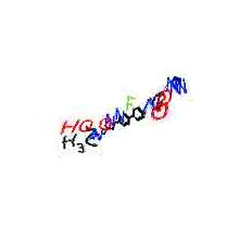 CN(CCO)C[C@@H]1CC(c2ccc(-c3ccc(N4C[C@H](Cn5ccnn5)OC4=O)cc3F)cn2)=NO1